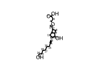 O=C(O)CCON=C1CC2C1C[C@@H](C#CCCCCCCO)[C@H]2O